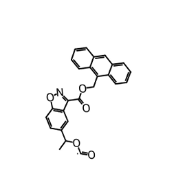 CC(O[C]=O)c1ccc2onc(C(=O)OCc3c4ccccc4cc4ccccc34)c2c1